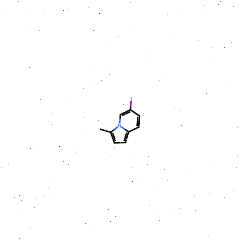 Cc1ccc2ccc(I)cn12